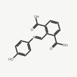 O=C(O)c1cccc(C(=O)O)c1/C=N/c1ccc(O)cc1